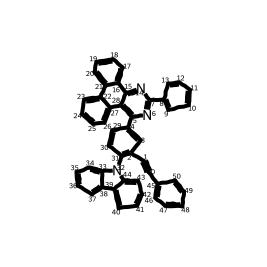 C(#Cc1cc(-c2nc(-c3ccccc3)nc3c4ccccc4c4ccccc4c23)ccc1-n1c2ccccc2c2ccccc21)c1ccccc1